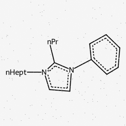 CCCCCCC[n+]1ccn(-c2ccccc2)c1CCC